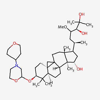 COC(C[C@@H](C)C1C[C@H](O)[C@@]2(C)[C@@H]3CC[C@H]4C(C)(C)[C@@H](OC5CN(C6CCOCC6)CCO5)CC[C@@]45CC35CC[C@]12C)[C@H](O)C(C)(C)O